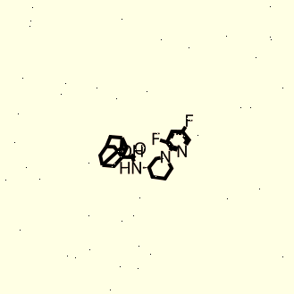 O=C(N[C@H]1CCCN(c2ncc(F)cc2F)C1)C12CC3CC(C1)C(O)C(C3)C2